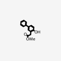 COC(=O)Cc1cc(-c2ccccc2)ccc1O